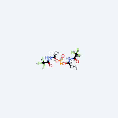 CC(NC(=O)C(F)(F)F)O[PH](=O)OC(C)NC(=O)C(F)(F)F